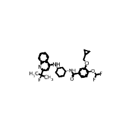 CC(C)(F)c1cc(N[C@H]2CCC[C@@H](NC(=O)c3ccc(OC(F)F)c(OCC4CC4)c3)C2)c2ccccc2n1